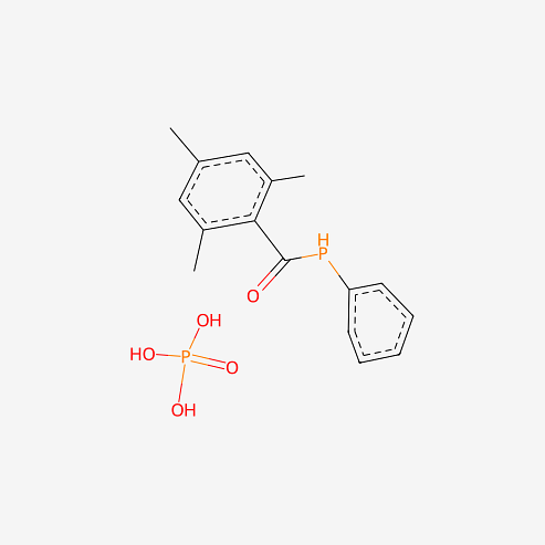 Cc1cc(C)c(C(=O)Pc2ccccc2)c(C)c1.O=P(O)(O)O